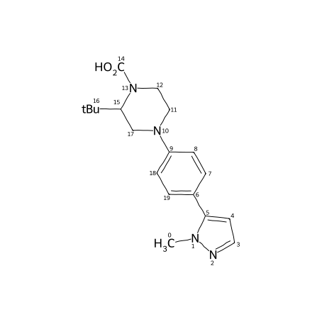 Cn1nccc1-c1ccc(N2CCN(C(=O)O)C(C(C)(C)C)C2)cc1